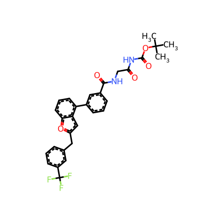 CC(C)(C)OC(=O)NC(=O)CNC(=O)c1cccc(-c2cccc3oc(Cc4cccc(C(F)(F)F)c4)cc23)c1